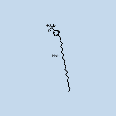 CCCCCCCCCCCCCCCCCCCCc1ccc(S(=O)(=O)O)cc1.[NaH]